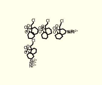 [Ni+2].[Ni+2].[Ni+2].[Ni+2].[Ni+2].[Ni+2].[O-]P([O-])([O-])(C1CCCCC1)C1(CCCl)CCCCC1.[O-]P([O-])([O-])(C1CCCCC1)C1(CCCl)CCCCC1.[O-]P([O-])([O-])(C1CCCCC1)C1(CCCl)CCCCC1.[O-]P([O-])([O-])(C1CCCCC1)C1(CCCl)CCCCC1